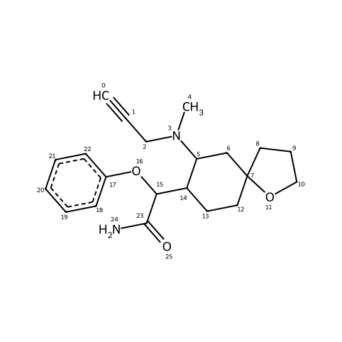 C#CCN(C)C1CC2(CCCO2)CCC1C(Oc1ccccc1)C(N)=O